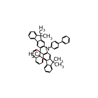 CC1(C)c2ccccc2-c2cc3c(cc21)N(c1ccc(-c2ccccc2)cc1)c1cc2c(cc1C31c3ccccc3SC3C=CC=CC31C)-c1ccccc1C2(C)C